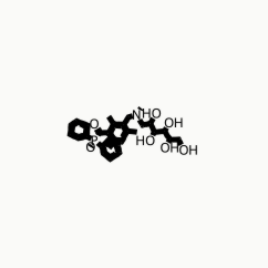 Cc1cc(C)c(C(=O)P(=O)(c2ccccc2)c2ccccc2)c(C)c1CN(C)CC(O)C(O)C(O)C(O)CO